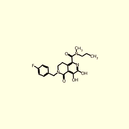 CCCN(C)C(=O)c1nc(O)c(O)c2c1CCN(Cc1ccc(F)cc1)C2=O